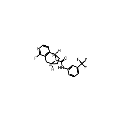 O=C(Nc1cccc(C(F)(F)F)c1)N1[C@@H]2CC[C@H]1c1ccnc(F)c1C2